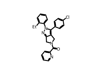 CCc1ccccc1-n1nc2c(c1-c1ccc(Cl)cc1)CN(C(=O)c1ccccn1)C2